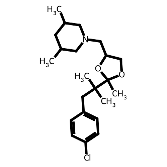 CC1CC(C)CN(CC2COC(C)(C(C)(C)Cc3ccc(Cl)cc3)O2)C1